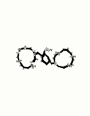 O=C(O)c1cc(CN2CCCNCCNCCCNCC2)ccc1CN1CCCNCCNCCCNCC1